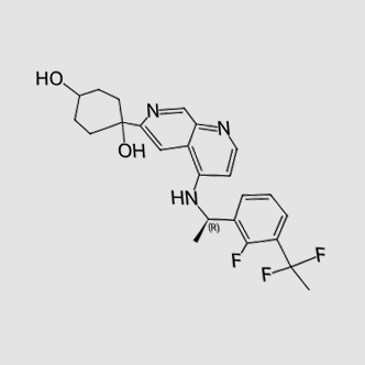 C[C@@H](Nc1ccnc2cnc(C3(O)CCC(O)CC3)cc12)c1cccc(C(C)(F)F)c1F